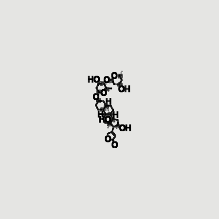 C[C@@H]1C[C@@H](O)C[C@H](O[C@H]2[C@@H](O)C[C@H](O[C@H]3CC[C@@]4(C)[C@H](CC[C@@H]5[C@@H]4CC[C@]4(C)C(C6=CC(=O)OC6)[C@@H](O)C[C@]54O)C3)O[C@@H]2C)O1